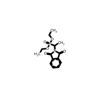 CCOP(=O)(OCC)C(C)N1C(=O)c2ccccc2C1=O